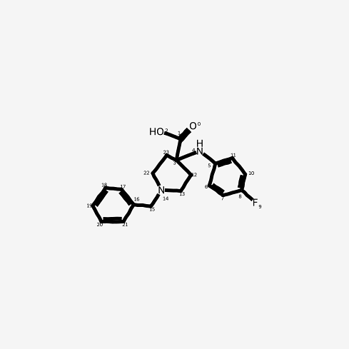 O=C(O)C1(Nc2ccc(F)cc2)CCN(Cc2ccccc2)CC1